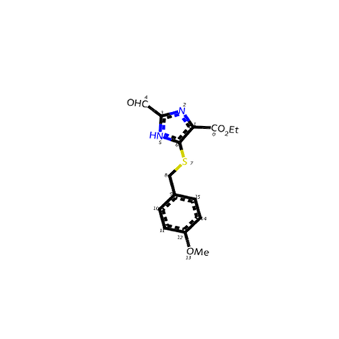 CCOC(=O)c1nc(C=O)[nH]c1SCc1ccc(OC)cc1